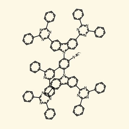 [C-]#[N+]c1cc(-n2c3ccc(-c4nc(-c5ccccc5)nc(-c5ccccc5)n4)cc3c3cc(-c4nc(-c5ccccc5)nc(-c5ccccc5)n4)ccc32)c(-c2cc(-c3ccccc3)nc(-c3ccccc3)c2)cc1-n1c2ccc(-c3nc(-c4ccccc4)nc(-c4ccccc4)n3)cc2c2cc(-c3nc(-c4ccccc4)nc(-c4ccccc4)n3)ccc21